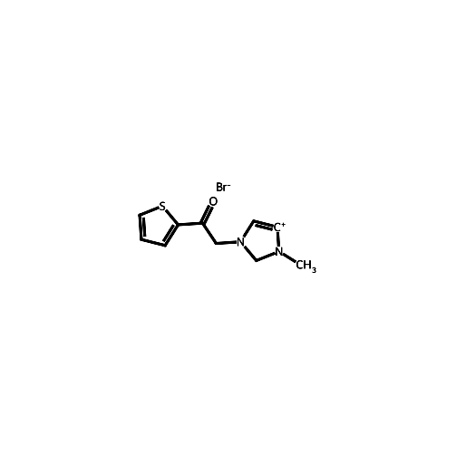 CN1[C+]=CN(CC(=O)c2cccs2)C1.[Br-]